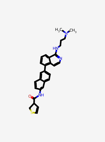 CN(C)CCCNc1nccc2c(-c3ccc4cc(NC(=O)C5C=CSC5)ccc4c3)cccc12